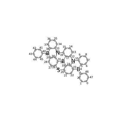 c1ccc(B2c3ccccc3N3c4cccc5c4B4c6c(ccc2c63)Sc2ccc3c(c24)N5c2ccccc2B3c2ccccc2)cc1